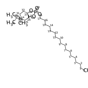 CCCCCCCCCCCCCCCCCCOP(=O)(O)OC1CC[N+](C)(C(C)C)CC1